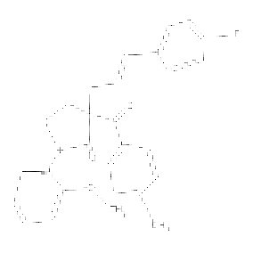 COc1ccccc1N1CCC(CC=Cc2ccc(F)cc2)(C(=O)c2ccc(C)cc2)C1=O